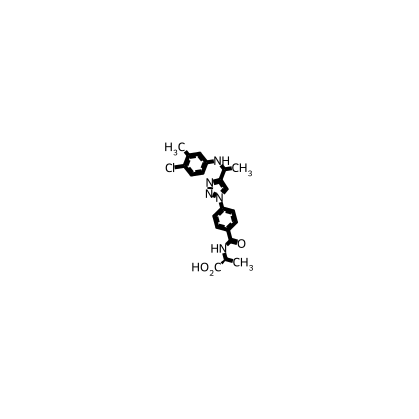 Cc1cc(NC(C)c2cn(-c3ccc(C(=O)N[C@@H](C)C(=O)O)cc3)nn2)ccc1Cl